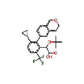 CC(C)(C)OC(C(=O)O)c1c(C(F)(F)F)ccc(C2CC2)c1-c1ccc2c(c1)=CCOC=2